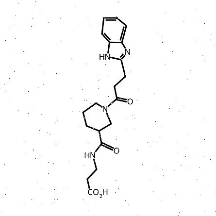 O=C(O)CCNC(=O)C1CCCN(C(=O)CCc2nc3ccccc3[nH]2)C1